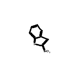 O=[N+]([O-])c1cc2ccccc2s1